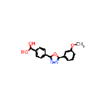 COc1cccc(-c2nnc(-c3ccc(C(O)O)cc3)o2)c1